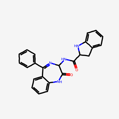 O=C(NC1N=C(c2ccccc2)c2ccccc2NC1=O)C1Cc2ccccc2N1